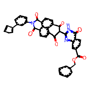 O=C(OCc1ccccc1)c1ccc2c(=O)[nH]c(C3C(=O)c4ccc5c6c(ccc(c46)C3=O)C(=O)N(c3cccc(C4=CCC=C4)c3)C5=O)nc2c1